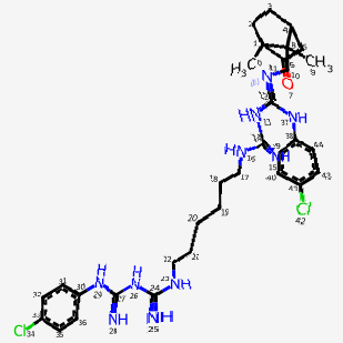 CC12CCC(CC1=O)C2(C)C/N=C(/NC(=N)NCCCCCCNC(=N)NC(=N)Nc1ccc(Cl)cc1)Nc1ccc(Cl)cc1